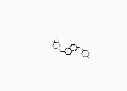 CCCC1(OC(=O)O)CCN(Cc2ccc3cc(OC4CCC(C(C)(C)C)CC4)ccc3c2)CC1